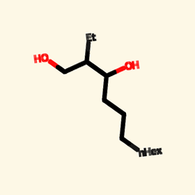 CCCCCCCCCC(O)C(CC)CO